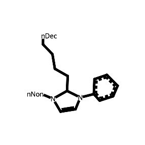 CCCCCCCCCCCCCCC1N(CCCCCCCCC)C=CN1c1ccccc1